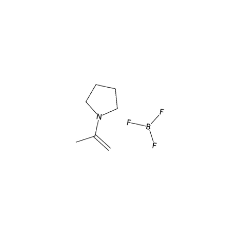 C=C(C)N1CCCC1.FB(F)F